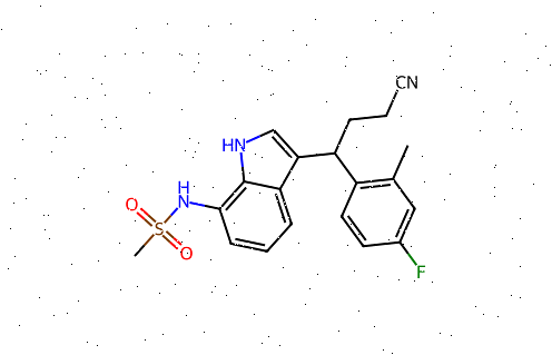 Cc1cc(F)ccc1C(CCC#N)c1c[nH]c2c(NS(C)(=O)=O)cccc12